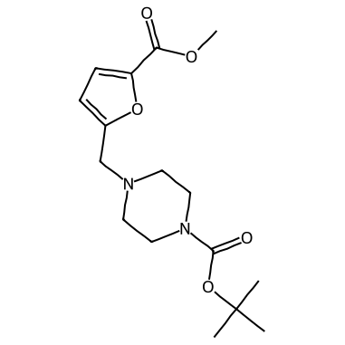 COC(=O)c1ccc(CN2CCN(C(=O)OC(C)(C)C)CC2)o1